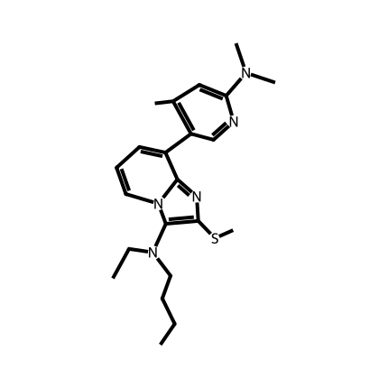 CCCCN(CC)c1c(SC)nc2c(-c3cnc(N(C)C)cc3C)cccn12